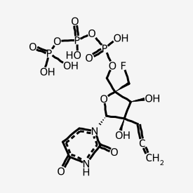 C=C=C[C@@]1(O)[C@H](O)[C@@](CF)(COP(=O)(O)OP(=O)(O)OP(=O)(O)O)O[C@H]1n1ccc(=O)[nH]c1=O